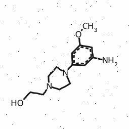 COc1cc(N)cc(N2CCN(CCO)CC2)c1